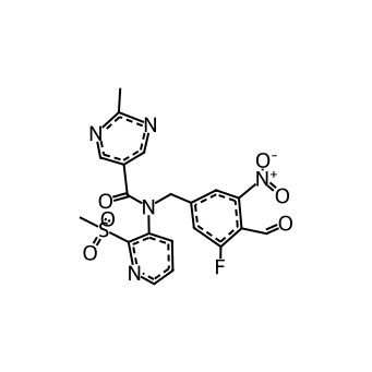 Cc1ncc(C(=O)N(Cc2cc(F)c(C=O)c([N+](=O)[O-])c2)c2cccnc2S(C)(=O)=O)cn1